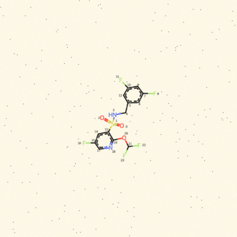 O=S(=O)(NCc1cc(F)cc(F)c1)c1cc(F)cnc1OC(F)F